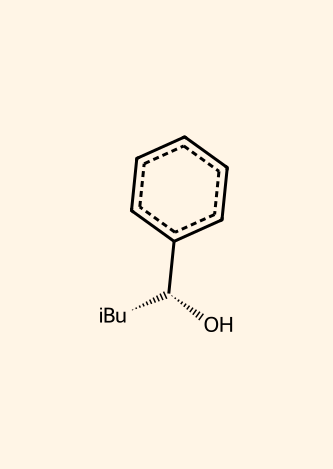 CC[C@@H](C)[C@@H](O)c1ccccc1